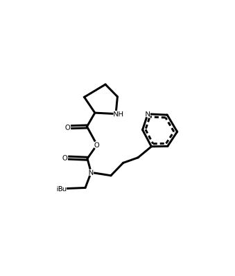 CCC(C)CN(CCCc1cccnc1)C(=O)OC(=O)C1CCCN1